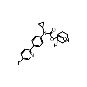 O=C(O[C@@H]1CN2CCC1CC2)N(c1ccc(-c2ccc(F)cn2)cc1)C1CC1